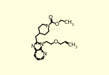 C=CCOCCn1c(CC2CCN(C(=O)OCC)CC2)nc2cccnc21